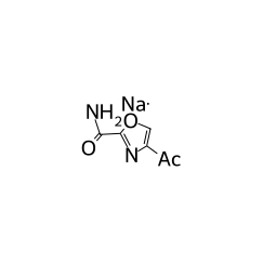 CC(=O)c1coc(C(N)=O)n1.[Na]